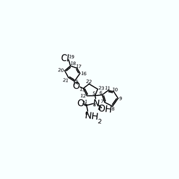 NC(=O)N(O)C1(c2ccccc2)C=C(Oc2ccc(Cl)cc2)CC1